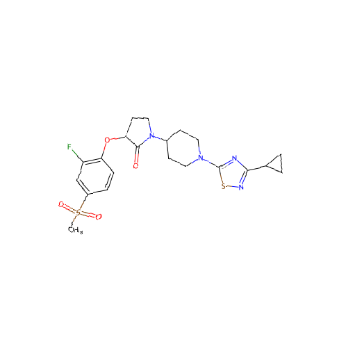 CS(=O)(=O)c1ccc(OC2CCN(C3CCN(c4nc(C5CC5)ns4)CC3)C2=O)c(F)c1